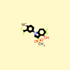 CS(=O)(=O)c1cn(-c2ccc(C#N)c(C(F)F)c2)c2c1[C@H](O)C(F)(F)CC2